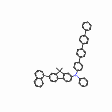 CC1(C)c2cc(-c3cccc4ccccc34)ccc2-c2ccc(N(c3ccccc3)c3ccc(-c4ccc(-c5ccc(-c6ccccc6)cc5)cc4)cc3)cc21